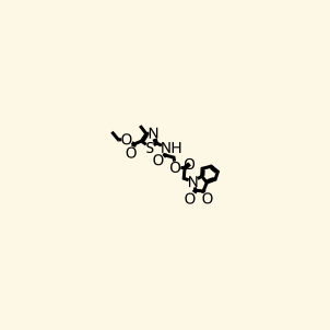 CCOC(=O)c1sc(NC(=O)COC(=O)CN2C(=O)C(=O)c3ccccc32)nc1C